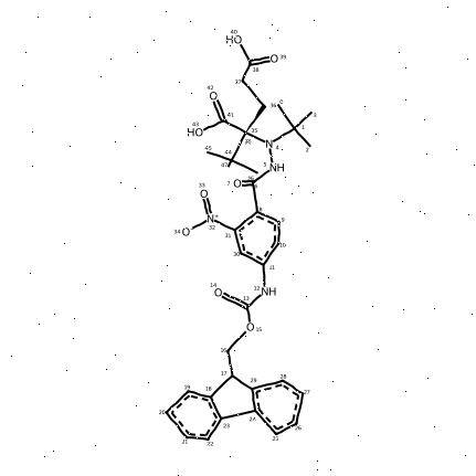 CC(C)(C)N(NC(=O)c1ccc(NC(=O)OCC2c3ccccc3-c3ccccc32)cc1[N+](=O)[O-])[C@@](CCC(=O)O)(C(=O)O)C(C)(C)C